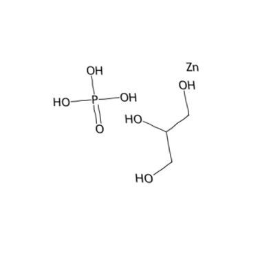 O=P(O)(O)O.OCC(O)CO.[Zn]